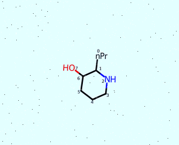 CCCC1NCCCC1O